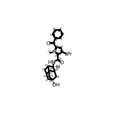 CC(C)c1cc(C(=O)c2ccccc2)n(C)c1C(=O)N[C@H]1C2CC3CC1C[C@](O)(C3)C2